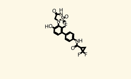 O=C1CN(c2c(O)ccc(-c3ccc(NC(=O)C4CC4(F)F)cc3)c2F)S(=O)(=O)N1